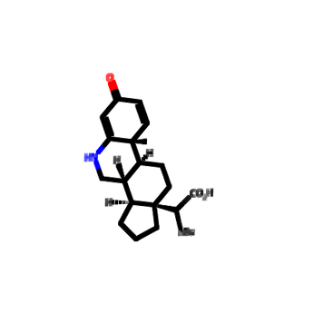 CCCCC(C(=O)O)[C@@]12CCC[C@H]1[C@@H]1CNC3=CC(=O)C=C[C@]3(C)[C@H]1CC2